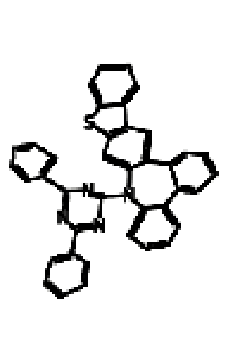 c1ccc(-c2nc(-c3ccccc3)nc(N3c4ccccc4-c4ccccc4-c4cc5c(cc43)sc3ccccc35)n2)cc1